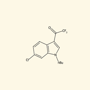 CCCCn1cc(C(=O)C(F)(F)F)c2ccc(Cl)cc21